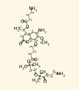 COc1c(N)cc2c(C(C)OC(=O)CCCN)cc(=O)oc2c1OCCCC(=O)OC(C)(C)CCOC(C)(C)C(=O)CCCN